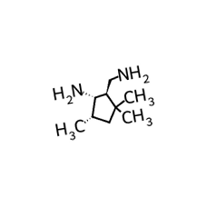 C[C@H]1CC(C)(C)[C@H](CN)[C@H]1N